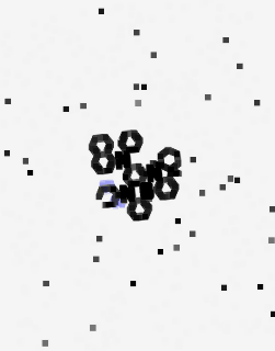 C/C=C\C(=C/C)N1c2ccccc2B2c3cccc4c3N(c3cc(N(c5ccccc5)c5cccc6ccccc56)cc1c32)C1(C)CCCCC41C